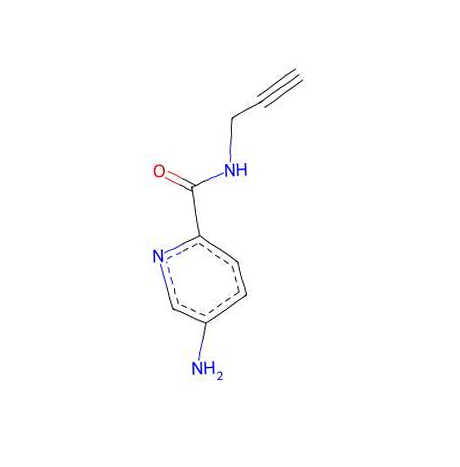 C#CCNC(=O)c1ccc(N)cn1